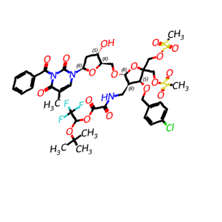 Cc1cn([C@H]2C[C@H](O)[C@@H](CO[C@@H]3OC(COS(C)(=O)=O)(COS(C)(=O)=O)[C@@H](OCc4ccc(Cl)cc4)[C@H]3CNC(=O)C(=O)OC(OC(C)(C)C)C(F)(F)F)O2)c(=O)n(C(=O)c2ccccc2)c1=O